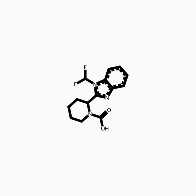 O=C(O)N1CCCCC1c1nc2ccccc2n1C(F)F